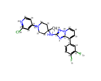 CC1(Nc2nc3c(-c4ccc(F)c(F)c4)cccn3n2)CCN(c2ccnc(Cl)c2)CC1